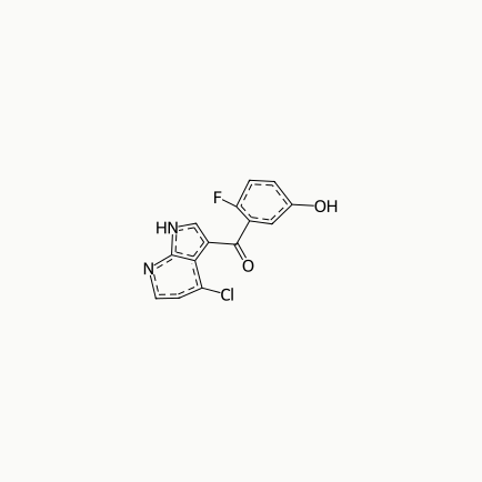 O=C(c1cc(O)ccc1F)c1c[nH]c2nccc(Cl)c12